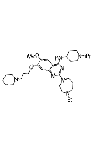 CCN1CCCN(c2nc(NC3CCN(C(C)C)CC3)c3cc(OC)c(OCCCN4CCCCC4)cc3n2)CC1